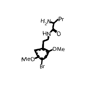 COc1cc(CCNC(=O)C(N)C(C)C)c(OC)cc1Br